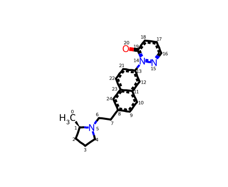 C[C@@H]1CCCN1CCc1ccc2cc(-n3ncccc3=O)ccc2c1